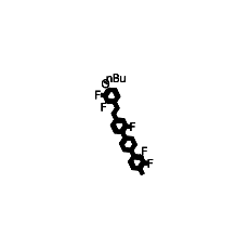 CCCCOc1ccc(CCc2ccc(C3=CCC(c4ccc(C)c(F)c4F)CC3)c(F)c2)c(F)c1F